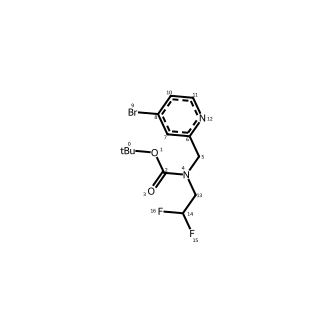 CC(C)(C)OC(=O)N(Cc1cc(Br)ccn1)CC(F)F